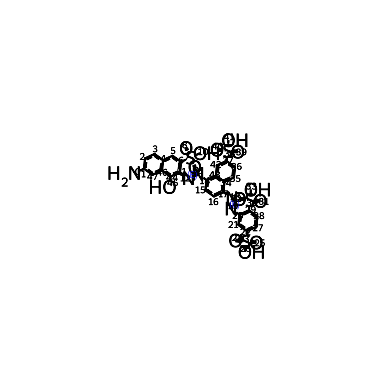 Nc1ccc2cc(S(=O)(=O)O)c(/N=N/c3ccc(/N=N/c4cc(S(=O)(=O)O)ccc4S(=O)(=O)O)c4ccc(S(=O)(=O)O)cc34)c(O)c2c1